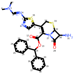 CN(C)/C=N/c1ncc(C2=C(C(=O)OC(c3ccccc3)c3ccccc3)N3C(=O)C(N)C3SC2)s1